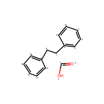 O=CO.c1ccc(CCc2ccccc2)cc1